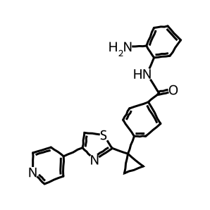 Nc1ccccc1NC(=O)c1ccc(C2(c3nc(-c4ccncc4)cs3)CC2)cc1